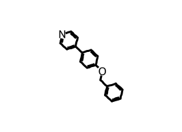 c1ccc(COc2ccc(-c3ccncc3)cc2)cc1